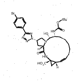 CC(C)(C)OC(=O)N[C@@H]1CCCCC/C=C\[C@@H]2C[C@]2(C(=O)O)NC(=O)[C@@H]2C[C@H](n3nnc(-c4ccc(Br)cc4)n3)CN2[C@@H]1O